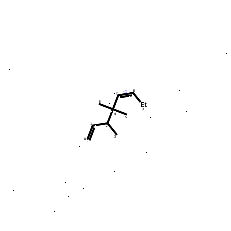 [CH]=CC(C)C(C)(C)/C=C\CC